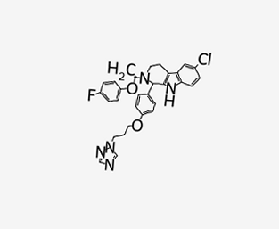 C=C(Oc1ccc(F)cc1)N1CCc2c([nH]c3ccc(Cl)cc23)C1c1ccc(OCCCn2cncn2)cc1